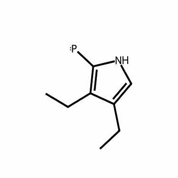 CCc1c[nH]c([P])c1CC